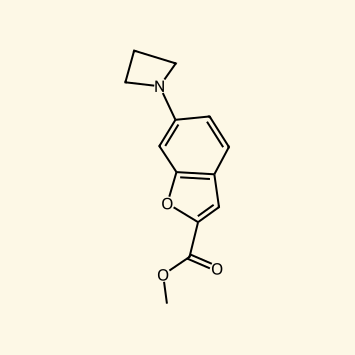 COC(=O)c1cc2ccc(N3CCC3)cc2o1